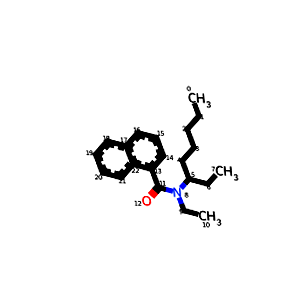 CCCCCC(CC)N(CC)C(=O)c1cccc2ccccc12